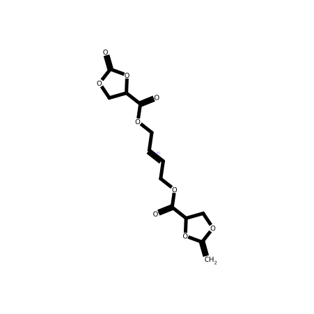 C=C1OCC(C(=O)OC/C=C/COC(=O)C2COC(=O)O2)O1